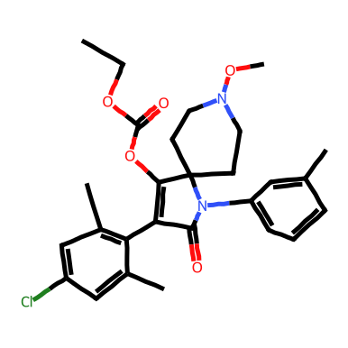 CCOC(=O)OC1=C(c2c(C)cc(Cl)cc2C)C(=O)N(c2cccc(C)c2)C12CCN(OC)CC2